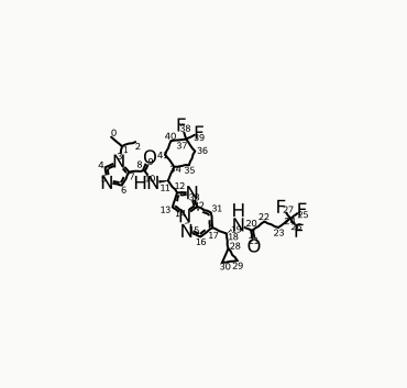 CC(C)n1cncc1C(=O)N[C@H](c1cn2ncc([C@H](NC(=O)CCC(F)(F)F)C3CC3)cc2n1)C1CCC(F)(F)CC1